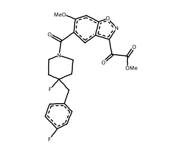 COC(=O)C(=O)c1noc2cc(OC)c(C(=O)N3CCC(F)(Cc4ccc(F)cc4)CC3)cc12